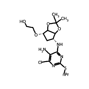 CCCSc1nc(Cl)c(N)c(N[C@@H]2C[C@H](OCCO)C3OC(C)(C)OC32)n1